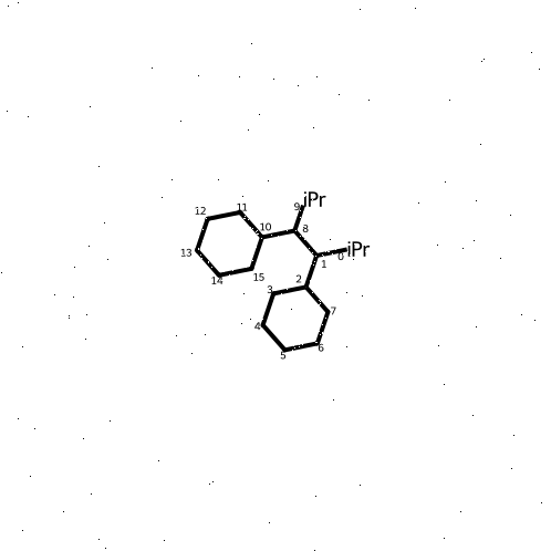 CC(C)C(C1CCCCC1)C(C(C)C)C1CCCCC1